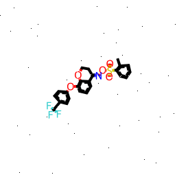 Cc1ccccc1S(=O)(=O)ON=C1CCOc2c(Oc3ccc(C(F)(F)F)cc3)cccc21